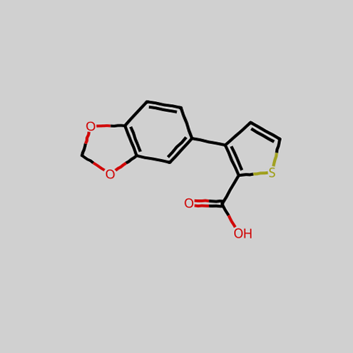 O=C(O)c1sccc1-c1ccc2c(c1)OCO2